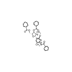 Cc1cn([C@@H]2O[C@H](COC(=O)c3ccccc3)[C@@H](OC(=O)c3ccccc3)[C@@]2(C)F)c(=O)nc1NC(=O)c1ccccc1